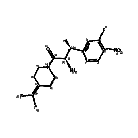 C[C@@H](c1ccc([N+](=O)[O-])c(F)c1)[C@@H](N)C(=O)N1CCC(=C(F)F)CC1